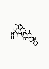 CNC(=O)[C@@H](C)Oc1cc(F)ccc1Nc1ncnc2cc(N=S3(=O)CCCC3)cc(C)c12